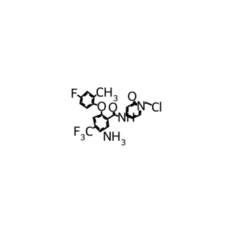 Cc1cc(F)ccc1Oc1cc(C(F)(F)F)ccc1C(=O)Nc1ccn(CCl)c(=O)c1.N